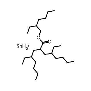 CCCCC(CC)COC(=O)C(CC(CC)CCCC)CC(CC)CCCC.[SnH2]